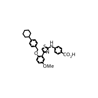 COc1ccc(OCc2ccc(C3CCCCC3)cc2)c(-c2csc(Nc3ccc(C(=O)O)cc3)n2)c1